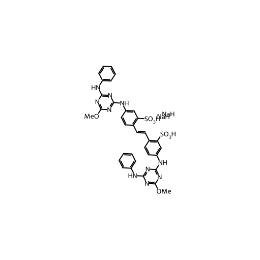 COc1nc(Nc2ccccc2)nc(Nc2ccc(/C=C/c3ccc(Nc4nc(Nc5ccccc5)nc(OC)n4)cc3S(=O)(=O)O)c(S(=O)(=O)O)c2)n1.[NaH].[NaH]